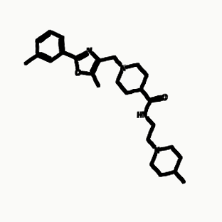 Cc1cccc(-c2nc(CN3CCC(C(=O)NCCN4CCC(C)CC4)CC3)c(C)o2)c1